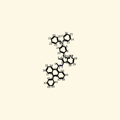 C/C(=C\c1c(C)n(-c2ccc(N(c3ccccc3)c3ccccc3)cc2)c2ncccc12)c1c2ccccc2c(-c2ccccc2)c2ccccc12